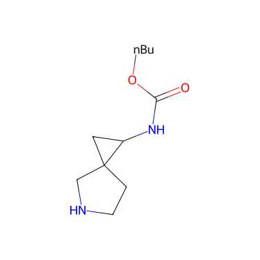 CCCCOC(=O)NC1CC12CCNC2